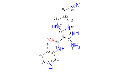 CC1=C(NC(=O)C2C(N)NN3CC(CC#N)CNC23)CNCC1